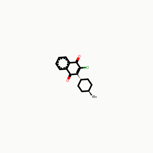 CC(C)(C)[C@H]1CC[C@H](C2=C(Cl)C(=O)c3ccccc3C2=O)CC1